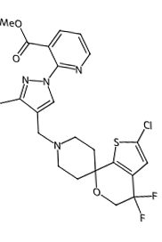 COC(=O)c1cccnc1-n1cc(CN2CCC3(CC2)OCC(F)(F)c2cc(Cl)sc23)c(C)n1